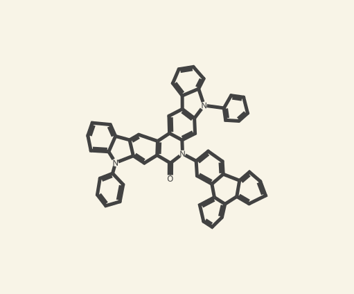 O=c1c2cc3c(cc2c2cc4c5ccccc5n(-c5ccccc5)c4cc2n1-c1ccc2c4ccccc4c4ccccc4c2c1)c1ccccc1n3-c1ccccc1